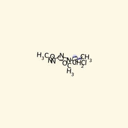 C=C(/C=C\C(F)=C(/C)Cl)N(Cc1ccc(-c2nnc(C)o2)cn1)C(C)=O